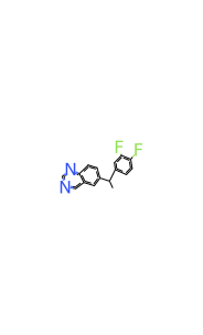 CC(c1ccc(F)c(F)c1)c1ccc2ncncc2c1